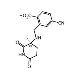 C[C@]1(NCc2cc(C#N)ccc2C(=O)O)CCC(=O)NC1=O